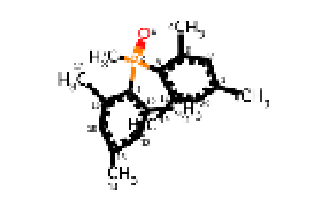 Cc1cc(C)c(P(C)(=O)c2c(C)cc(C)cc2C)c(C)c1